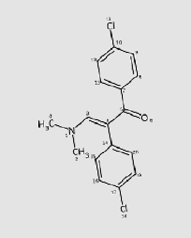 CN(C)C=C(C(=O)c1ccc(Cl)cc1)c1ccc(Cl)cc1